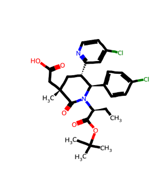 CC[C@@H](C(=O)OC(C)(C)C)N1C(=O)[C@](C)(CC(=O)O)C[C@H](c2cc(Cl)ccn2)[C@H]1c1ccc(Cl)cc1